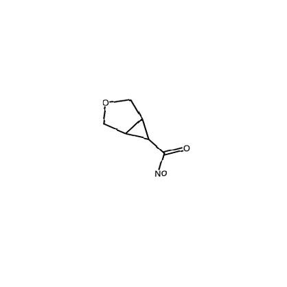 O=NC(=O)C1C2COCC21